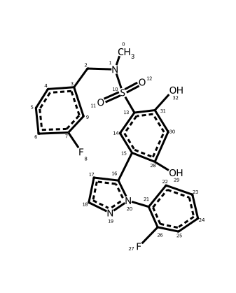 CN(Cc1cccc(F)c1)S(=O)(=O)c1cc(-c2ccnn2-c2ccccc2F)c(O)cc1O